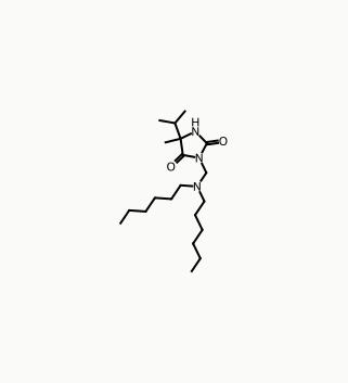 CCCCCCN(CCCCCC)CN1C(=O)NC(C)(C(C)C)C1=O